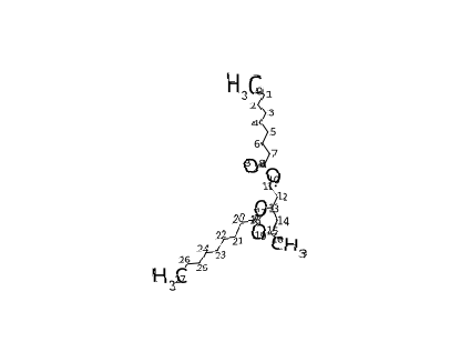 CCCCCCCCC(=O)O[CH]CC(CCC)OC(=O)CCCCCCCC